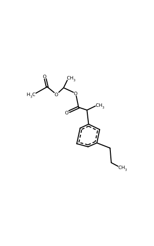 CCCc1cccc(C(C)C(=O)OC(C)OC(C)=O)c1